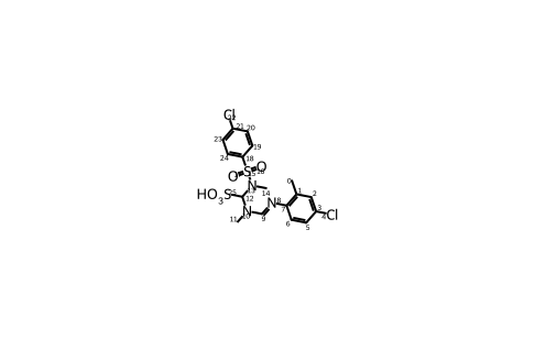 Cc1cc(Cl)ccc1N=CN(C)C(N(C)S(=O)(=O)c1ccc(Cl)cc1)S(=O)(=O)O